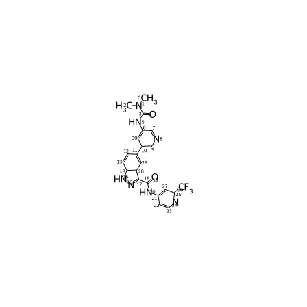 CN(C)C(=O)Nc1cncc(-c2ccc3[nH]nc(C(=O)Nc4ccnc(C(F)(F)F)c4)c3c2)c1